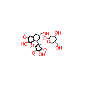 COc1cc([C@H]2c3c(cc(OC)c(O)c3OC)C[C@@H](CO)[C@@H]2CO[C@H]2C[C@@H](O)C[C@@H](CO)CO2)cc(OC)c1O